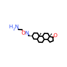 C[C@]12CC[C@H](/C=N/OCCN)CC1CCC1C2CC[C@]2(C)C(=O)CCC12